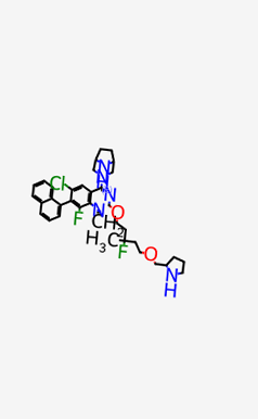 C=Nc1c(/C(=N\COCCC(C)(F)CCOCC2CCCN2)N2CC3CCC(C2)N3)cc(Cl)c(-c2cccc3ccccc23)c1F